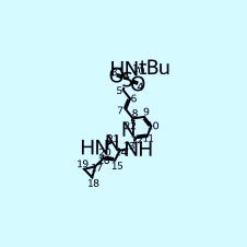 CC(C)(C)NS(=O)(=O)CC=Cc1cccc(Nc2cc(C3CC3)[nH]n2)n1